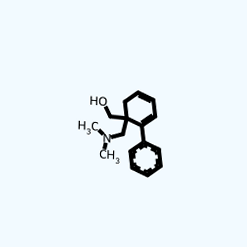 CN(C)CC1(CO)CC=CC=C1c1ccccc1